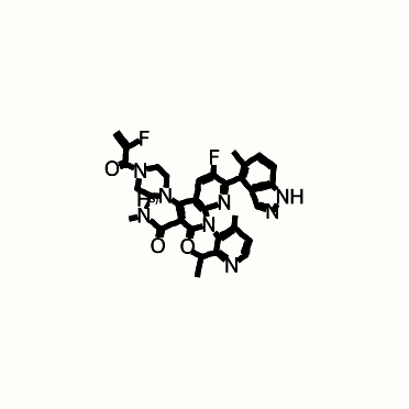 C=C(F)C(=O)N1CCN(c2c(C(=O)NC)c(=O)n(-c3c(C)ccnc3C(C)C)c3nc(-c4c(C)ccc5[nH]ncc45)c(F)cc23)[C@@H](C)C1